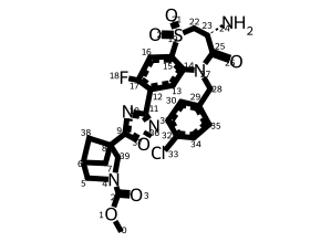 COC(=O)N1CC2CC(c3nc(-c4cc5c(cc4F)S(=O)(=O)C[C@H](N)C(=O)N5Cc4ccc(Cl)cc4)no3)(C2)C1